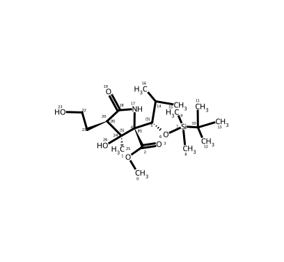 COC(=O)[C@]1([C@@H](O[Si](C)(C)C(C)(C)C)C(C)C)NC(=O)[C@H](CCO)[C@]1(C)O